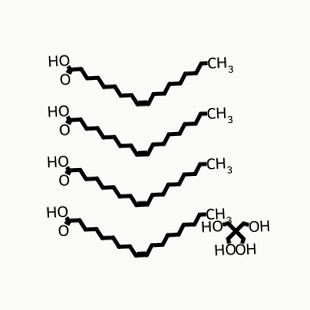 CCCCCCCC/C=C\CCCCCCCC(=O)O.CCCCCCCC/C=C\CCCCCCCC(=O)O.CCCCCCCC/C=C\CCCCCCCC(=O)O.CCCCCCCC/C=C\CCCCCCCC(=O)O.OCC(CO)(CO)CO